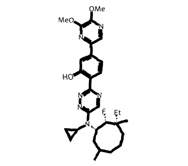 CC[C@]1(C)CCCC(C)C[C@H](N(c2cnc(-c3ccc(-c4cnc(OC)c(OC)n4)cc3O)nn2)C2CC2)[C@@H]1F